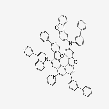 C1=CCN(c2cc3c(-c4cccc(-c5ccccc5)c4)cc4oc5cc(N(c6cccc(-c7ccccc7)c6)c6ccc7oc8ccccc8c7c6)ccc5c4c3c3c2cc(N2CC=C(c4ccccc4)c4ccccc42)c2c4cc(-c5ccccc5)ccc4oc23)C=C1